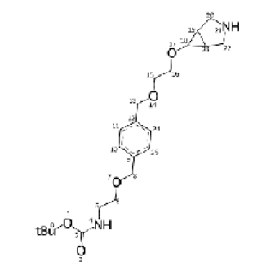 CC(C)(C)OC(=O)NCCOCc1ccc(COCCOC2C3CNCC32)cc1